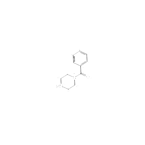 O=C(c1c[c]ccc1)N1CCNCC1